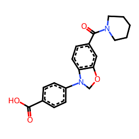 O=C(O)c1ccc(N2COc3cc(C(=O)N4CCCCC4)ccc32)cc1